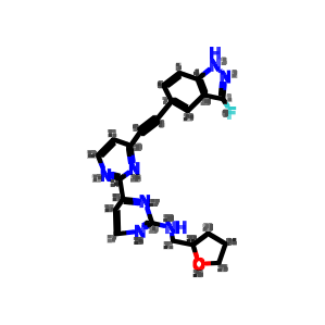 Fc1n[nH]c2ccc(C#Cc3ccnc(-c4ccnc(NCC5CCCO5)n4)n3)cc12